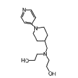 OCCN(CCO)CC1CCN(c2ccncc2)CC1